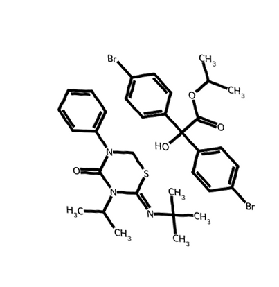 CC(C)N1C(=O)N(c2ccccc2)CS/C1=N\C(C)(C)C.CC(C)OC(=O)C(O)(c1ccc(Br)cc1)c1ccc(Br)cc1